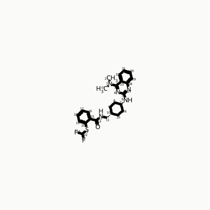 CN(C)c1nc(N[C@H]2CC[C@@H](CNC(=O)c3ccccc3SC(F)F)CC2)nc2ccccc12